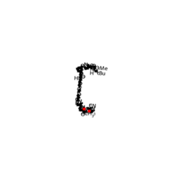 COC(=O)[C@H](CCC(C)(C)C)NC(=O)c1ccc(Oc2cccc(OCC(=O)NCCOCCOCCOCCOc3ncc(-c4ccc5c(n4)N(Cc4cccnc4C#N)C(C)(C)C5=O)cn3)c2)nc1